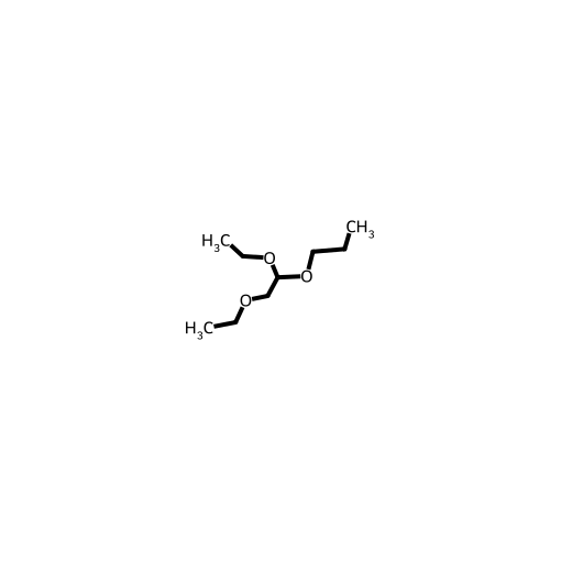 CCCOC(COCC)OCC